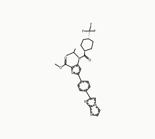 COC(=O)c1sc(-c2ccc(-c3cn4ccsc4n3)cc2)cc1N(C(=O)[C@H]1CC[C@H](C(F)(F)F)CC1)C(C)C